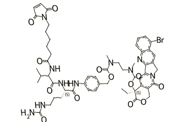 CC[C@@]1(OC(=O)N(C)CCN(C)C(=O)OCc2ccc(NC(=O)[C@H](CCCNC(N)=O)NC(=O)C(NC(=O)CCCCCN3C(=O)C=CC3=O)C(C)C)cc2)C(=O)OCc2c1cc1n(c2=O)Cc2cc3c(Br)cccc3nc2-1